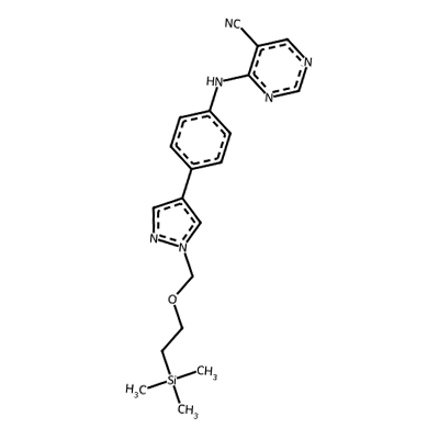 C[Si](C)(C)CCOCn1cc(-c2ccc(Nc3ncncc3C#N)cc2)cn1